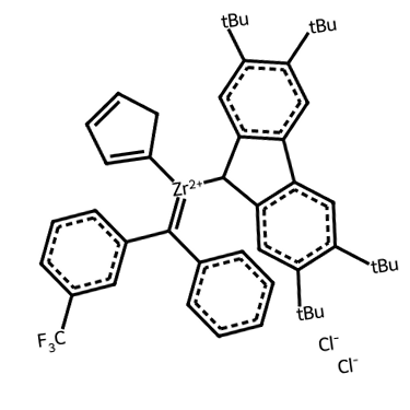 CC(C)(C)c1cc2c(cc1C(C)(C)C)[CH](/[Zr+2]([C]1=CC=CC1)=[C](\c1ccccc1)c1cccc(C(F)(F)F)c1)c1cc(C(C)(C)C)c(C(C)(C)C)cc1-2.[Cl-].[Cl-]